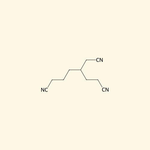 N#CCCCC(CC#N)CCC#N